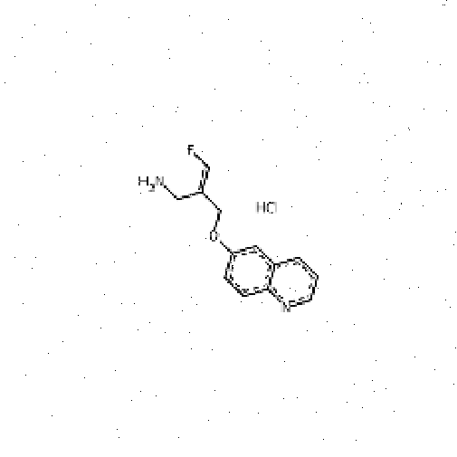 Cl.NC/C(=C\F)COc1ccc2ncccc2c1